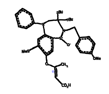 CCCCC1(CCCC)CN(c2ccccc2)c2cc(SC)c(O/C(C)=C/C(=O)O)cc2[S+]([O-])N1Cc1ccc(OC)cc1